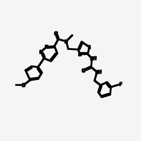 COc1ccc(-c2ccc(C(=O)N(C)Cc3csc(NC(=O)NCc4cccc(F)c4)n3)nn2)cc1